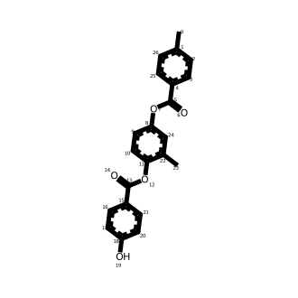 Cc1ccc(C(=O)Oc2ccc(OC(=O)c3ccc(O)cc3)c(C)c2)cc1